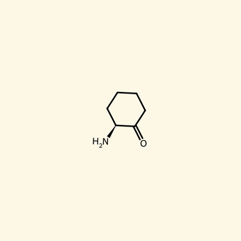 N[C@H]1CCCCC1=O